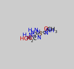 C=C/C(=C\C=C(/N)OCCO)c1c(C#N)c(N)nc(SCc2ccnc(C(=O)NC)c2)c1C#N